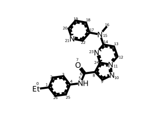 CCc1ccc(NC(=O)c2cnn3ccc(N(C)c4cccnc4)nc23)cc1